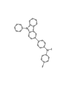 Fc1ccc(N(I)c2ccc(-c3ccc4c(c3)c3ccccc3n4-c3ccccc3)cc2)cc1